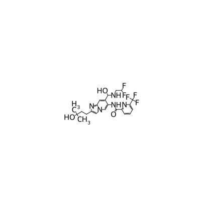 CC(C)(O)CCc1cn2cc(NC(=O)c3cccc(C(F)(F)F)n3)c(C(O)NCC(F)F)cc2n1